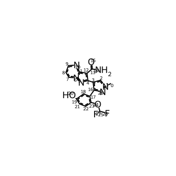 Cn1cc(-c2nn3cccnc3c2C(N)=O)c(-c2cc(O)ccc2OC(F)F)n1